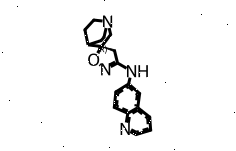 c1cnc2ccc(NC3=NO[C@@]4(C3)CN3CCC4CC3)cc2c1